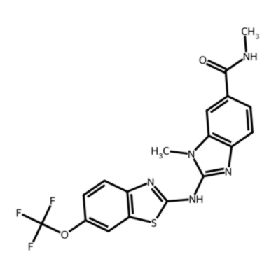 CNC(=O)c1ccc2nc(Nc3nc4ccc(OC(F)(F)F)cc4s3)n(C)c2c1